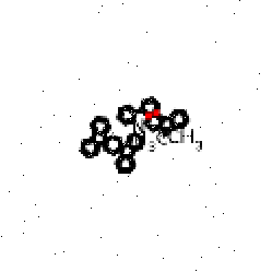 CC1(C)c2ccccc2-c2ccc(N(c3ccc4c(c3)C3(CCC5(CC3)c3ccccc3-c3ccccc35)c3ccccc3-4)c3ccccc3-c3ccccc3)cc21